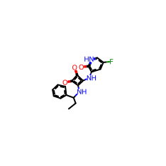 CCC(Nc1c(Nc2cc(F)c[nH]c2=O)c(=O)c1=O)c1ccccc1